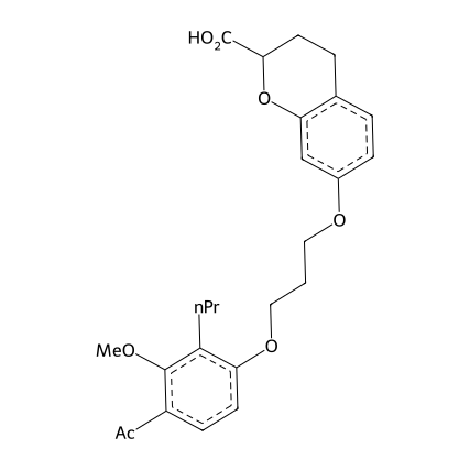 CCCc1c(OCCCOc2ccc3c(c2)OC(C(=O)O)CC3)ccc(C(C)=O)c1OC